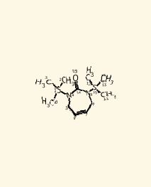 CS(C)(C)N1CC=CCN(S(C)(C)C)C1=O